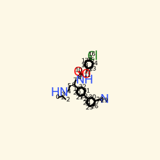 CC(C)NCC[C@@H](CNC(=O)Oc1ccc(Cl)cc1)c1ccc(-c2cccc(C#N)c2)cc1